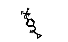 FC(F)(F)Oc1ccc(CNC2CC2)cc1